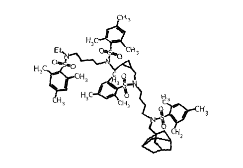 CCN(CCCCN(CC1CC1CN(CCCCN(CC12CC3CC(CC(C3)C1)C2)S(=O)(=O)c1c(C)cc(C)cc1C)S(=O)(=O)c1c(C)cc(C)cc1C)S(=O)(=O)c1c(C)cc(C)cc1C)S(=O)(=O)c1c(C)cc(C)cc1C